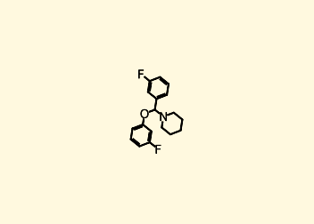 Fc1cccc(OC(c2cccc(F)c2)N2CCCCC2)c1